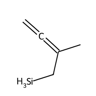 C=C=C(C)C[SiH3]